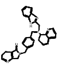 O=C1C2=C(CN1Cc1ccc(CN(Cc3nc4ccccc4[nH]3)C3CCCc4cccnc43)cc1)N=CCC2